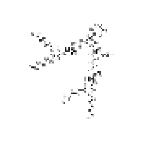 CCCCCCCCC(CCCCCCCC)CNC(=O)CCCCCN(CCO)CCN(CCCCCC(=O)OCC(CCCCCCCC)CCCCCCCC)C1CCCCC1